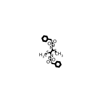 CSC(=NOS(=O)(=O)Cc1ccccc1)C(=NOS(=O)(=O)Cc1ccccc1)SC